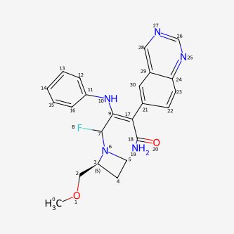 COC[C@@H]1CCN1C(F)C(Nc1ccccc1)=C(C(N)=O)c1ccc2ncncc2c1